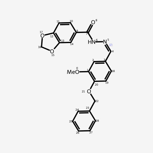 COc1cc(/C=N\NC(=O)c2ccc3c(c2)OCO3)ccc1OCc1ccccc1